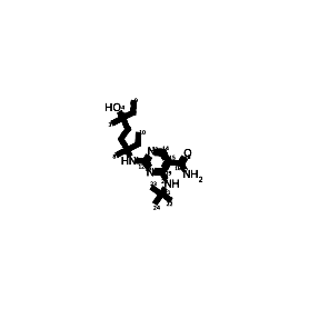 CCC(C)(O)CCC(C)(CC)Nc1ncc(C(N)=O)c(NC(C)(C)C)n1